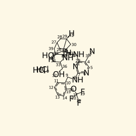 Cl.Cl.N#Cc1cnc(NCc2ccccc2OC(F)(F)F)nc1NCC12CC3C[C@H](C1)[C@H](NC(CO)CO)[C@@H](C3)C2